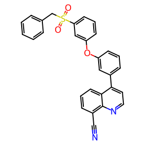 N#Cc1cccc2c(-c3cccc(Oc4cccc(S(=O)(=O)Cc5ccccc5)c4)c3)ccnc12